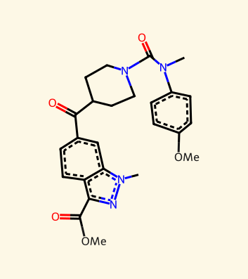 COC(=O)c1nn(C)c2cc(C(=O)C3CCN(C(=O)N(C)c4ccc(OC)cc4)CC3)ccc12